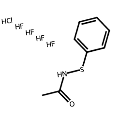 CC(=O)NSc1ccccc1.Cl.F.F.F.F